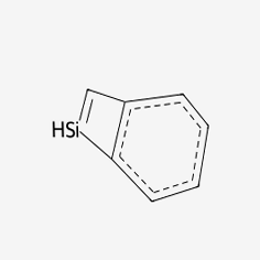 C1=[SiH]c2ccccc21